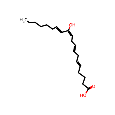 CCCCCC/C=C/C(O)=C\CC=CCC=CCCCC(=O)O